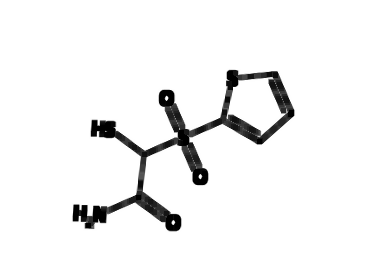 NC(=O)C(S)S(=O)(=O)c1cccs1